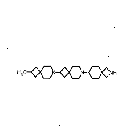 CC1CC2(CCN(C3CC4(CCN(C5CCC6(CC5)CNC6)CC4)C3)CC2)C1